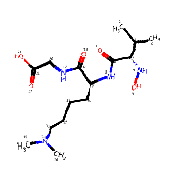 CC(C)[C@H](NO)C(=O)N[C@@H](CCCCN(C)C)C(=O)NCC(=O)O